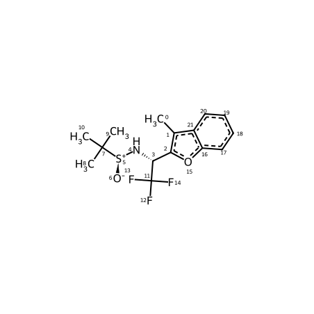 Cc1c([C@@H](N[S@@+]([O-])C(C)(C)C)C(F)(F)F)oc2ccccc12